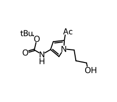 CC(=O)c1cc(NC(=O)OC(C)(C)C)cn1CCCO